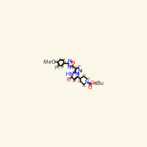 COc1ccc(-c2noc(-c3cnn4c(C5CCN(C(=O)OC(C)(C)C)CC5)cc(=O)[nH]c34)n2)cc1F